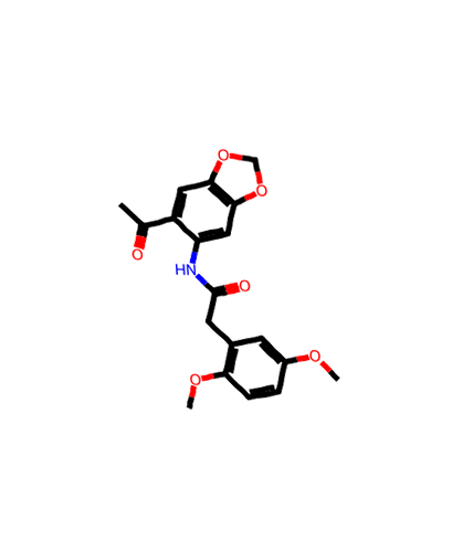 COc1ccc(OC)c(CC(=O)Nc2cc3c(cc2C(C)=O)OCO3)c1